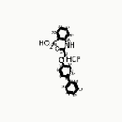 Cl.O=C(COc1ccc(-c2ccccc2)nc1)Nc1ccccc1C(=O)O